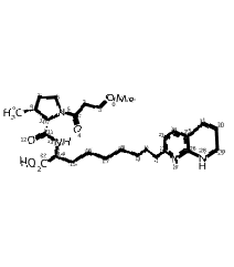 COCCC(=O)N1CC[C@H](C)[C@H]1C(=O)NC(CCCCCCCc1ccc2c(n1)NCCC2)C(=O)O